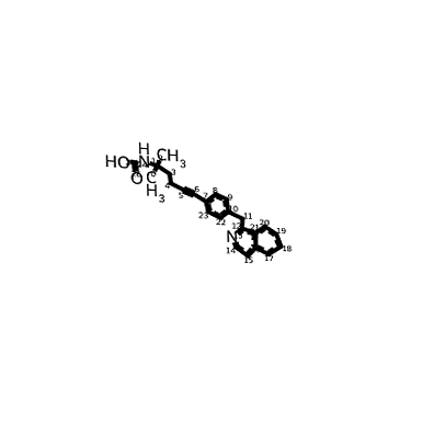 CC(C)(CCC#Cc1ccc(Cc2nccc3ccccc23)cc1)NC(=O)O